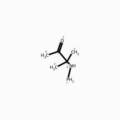 CC(=O)C(C)(C)NP